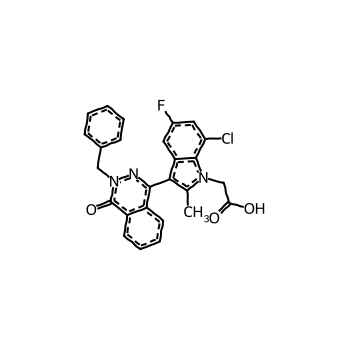 Cc1c(-c2nn(Cc3ccccc3)c(=O)c3ccccc23)c2cc(F)cc(Cl)c2n1CC(=O)O